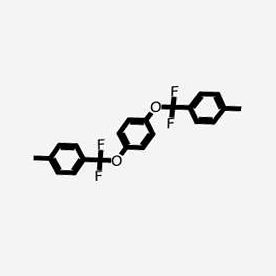 Cc1ccc(C(F)(F)Oc2ccc(OC(F)(F)c3ccc(C)cc3)cc2)cc1